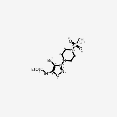 CCOC(=O)[N-]c1on[n+](N2CCN(S(C)(=O)=O)CC2)c1Br